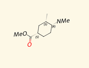 CN[C@@H]1CC[C@H](C(=O)OC)C[C@@H]1C